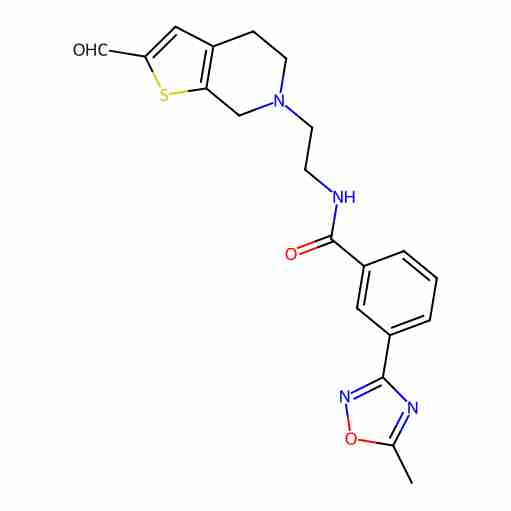 Cc1nc(-c2cccc(C(=O)NCCN3CCc4cc(C=O)sc4C3)c2)no1